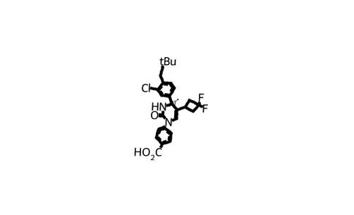 CC(C)(C)CCc1ccc([C@]2(C)NC(=O)N(c3ccc(C(=O)O)cc3)C=C2C2CC(F)(F)C2)cc1Cl